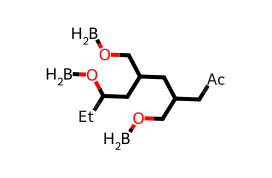 BOCC(CC(C)=O)CC(COB)CC(CC)OB